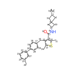 CC(=O)C1CC2(CC(NC(=O)c3c(C)sc(C)c3Cc3ccc(-c4cccc(C)c4)cc3)C2)C1